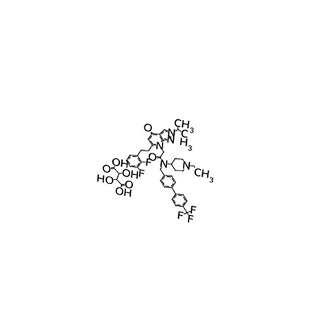 CCN1CCC(N(Cc2ccc(-c3ccc(C(F)(F)F)cc3)cc2)C(=O)Cn2c(CCc3cccc(F)c3F)cc(=O)c3cn(C(C)C)nc32)CC1.O=C(O)C(O)C(O)C(=O)O